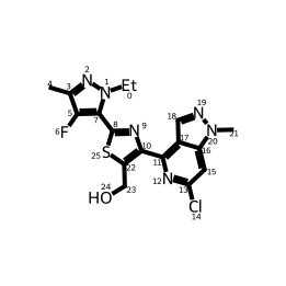 CCn1nc(C)c(F)c1-c1nc(-c2nc(Cl)cc3c2cnn3C)c(CO)s1